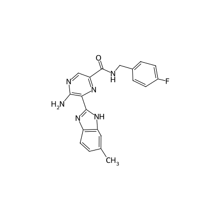 Cc1ccc2nc(-c3nc(C(=O)NCc4ccc(F)cc4)cnc3N)[nH]c2c1